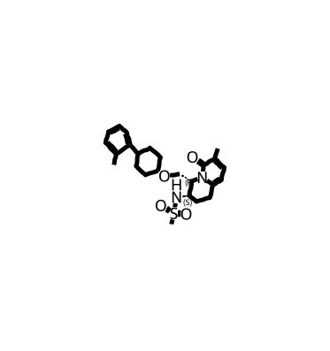 Cc1ccccc1C1CCC(OC[C@H]2[C@@H](NS(C)(=O)=O)CCc3ccc(C)c(=O)n32)CC1